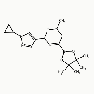 CC1CC(B2OC(C)(C)C(C)(C)O2)=CC(c2cnn(C3CC3)c2)O1